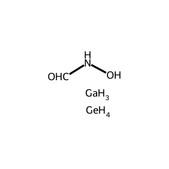 O=CNO.[GaH3].[GeH4]